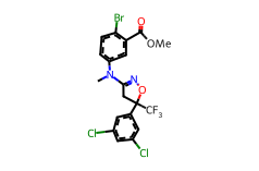 COC(=O)c1cc(N(C)C2=NOC(c3cc(Cl)cc(Cl)c3)(C(F)(F)F)C2)ccc1Br